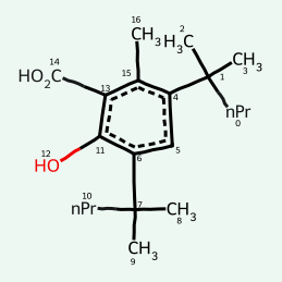 CCCC(C)(C)c1cc(C(C)(C)CCC)c(O)c(C(=O)O)c1C